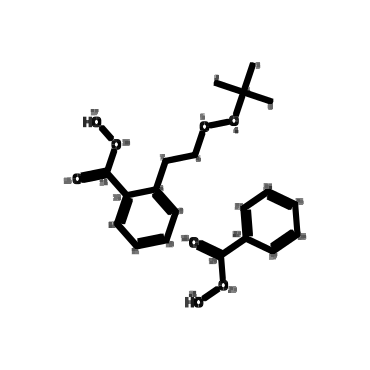 CC(C)(C)OOCCc1ccccc1C(=O)OO.O=C(OO)c1ccccc1